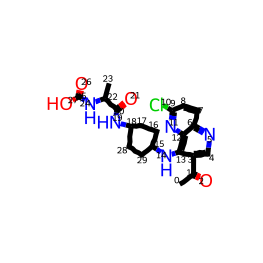 CC(=O)c1cnc2ccc(Cl)nc2c1NC1CCC(NC(=O)C(C)NC(=O)O)CC1